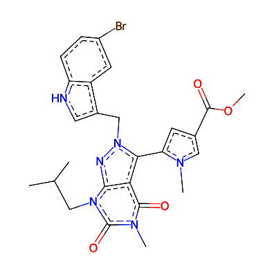 COC(=O)c1cc(-c2c3c(=O)n(C)c(=O)n(CC(C)C)c3nn2Cc2c[nH]c3ccc(Br)cc23)n(C)c1